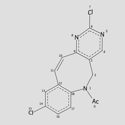 CC(=O)N1Cc2cnc(Cl)nc2C=Cc2cc(Cl)ccc21